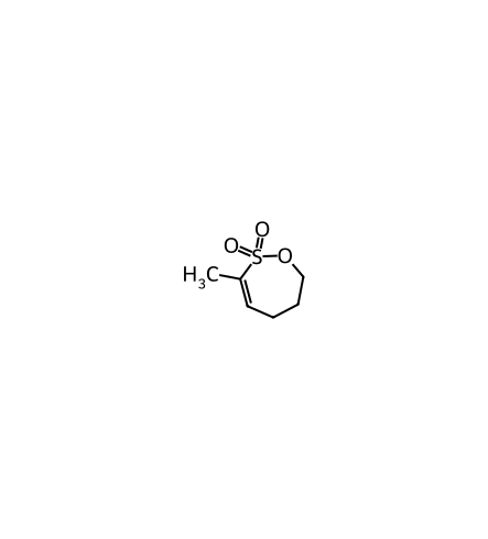 CC1=CCCCOS1(=O)=O